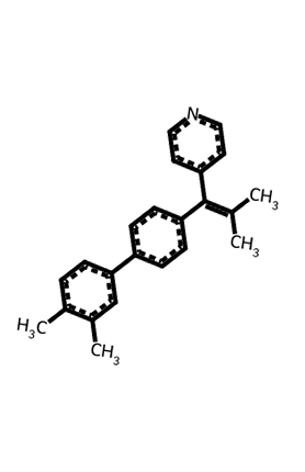 CC(C)=C(c1ccncc1)c1ccc(-c2ccc(C)c(C)c2)cc1